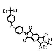 CCC(C)(CC)c1ccc(Oc2ccc(-n3c(=O)c4cc5c(=O)n(C(C)(CC)CC)c(=O)c5cc4c3=O)cc2)cc1